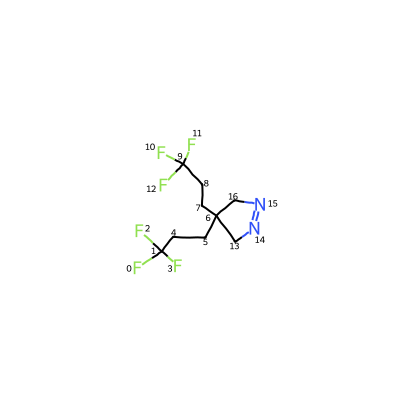 FC(F)(F)CCC1(CCC(F)(F)F)CN=NC1